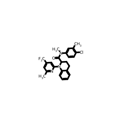 Cc1cc(C(F)(F)F)cc(N2c3ccccc3CCC2C(=O)N(C)c2ccc(Cl)c(C)c2)n1